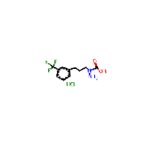 Cl.NN(CCCc1cccc(C(F)(F)F)c1)C(=O)O